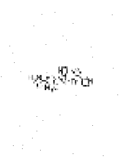 Cc1cc(C(N)=O)ccc1-n1nc(C(C)C)c2c(-n3cnc(-c4cccnc4)c3)ccnc21